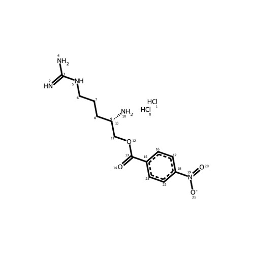 Cl.Cl.N=C(N)NCCC[C@H](N)COC(=O)c1ccc([N+](=O)[O-])cc1